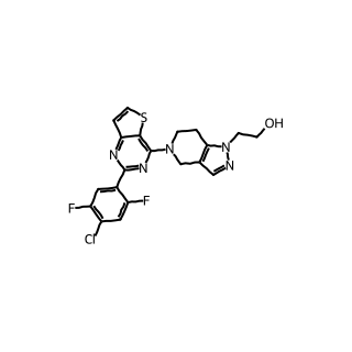 OCCn1ncc2c1CCN(c1nc(-c3cc(F)c(Cl)cc3F)nc3ccsc13)C2